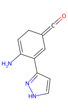 NC1=CCC(=C=O)C=C1c1cc[nH]n1